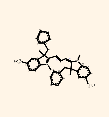 CN1/C(=C/C=C/C2=[N+](C)c3ccc(C(=O)O)cc3C2(C)Cc2ccccc2)C(C)(Cc2ccccc2)c2cc(C(=O)O)ccc21